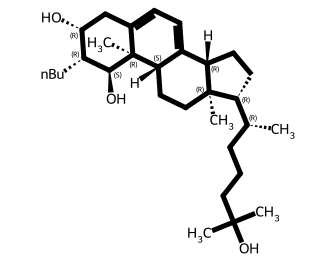 CCCC[C@@H]1[C@H](O)CC2=CC=C3[C@@H]4CC[C@H]([C@H](C)CCCC(C)(C)O)[C@@]4(C)CC[C@@H]3[C@@]2(C)[C@H]1O